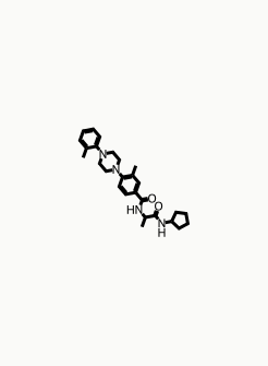 Cc1ccccc1N1CCN(c2ccc(C(=O)NC(C)C(=O)NC3CCCC3)cc2C)CC1